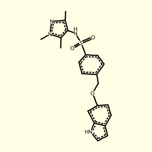 Cc1nn(C)c(C)c1NS(=O)(=O)c1ccc(COc2ccc3cc[nH]c3c2)cc1